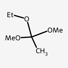 CCOC(C)(OC)OC